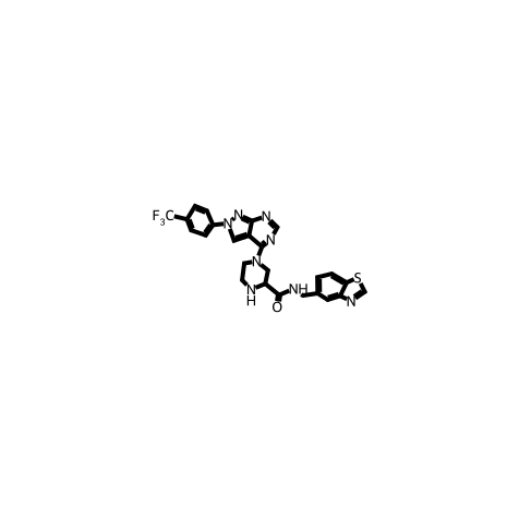 O=C(NCc1ccc2scnc2c1)C1CN(c2ncnc3nn(-c4ccc(C(F)(F)F)cc4)cc23)CCN1